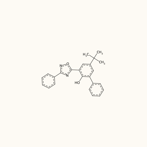 CC(C)(C)c1cc(-c2ccccc2)c(O)c(-c2nc(-c3ccccc3)no2)c1